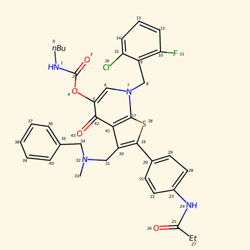 CCCCNC(=O)Oc1cn(Cc2c(F)cccc2Cl)c2sc(-c3ccc(NC(=O)CC)cc3)c(CN(C)Cc3ccccc3)c2c1=O